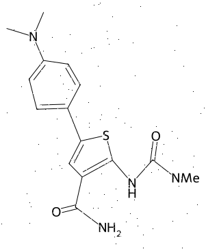 CNC(=O)Nc1sc(-c2ccc(N(C)C)cc2)cc1C(N)=O